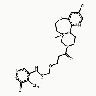 C[Si@@H](COCCC(=O)N1CCN2c3ncc(Cl)cc3OCC[Si@H]2C1)Nc1cn[nH]c(=O)c1C(F)(F)F